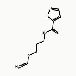 C=COCCONC(=O)c1ccns1